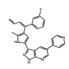 C=C/C=C(/c1cccc(F)c1)c1cc(-c2n[nH]c3ncc(-c4ccncc4)cc23)[nH]c1C